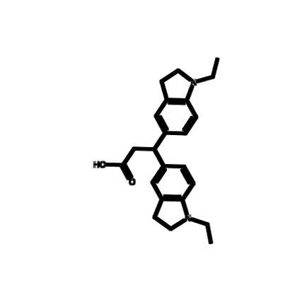 CCN1CCc2cc(C(CC(=O)O)c3ccc4c(c3)CCN4CC)ccc21